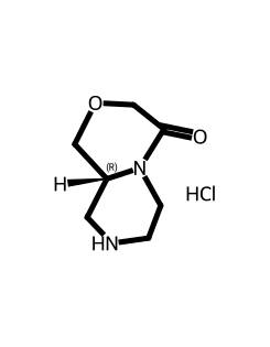 Cl.O=C1COC[C@H]2CNCCN12